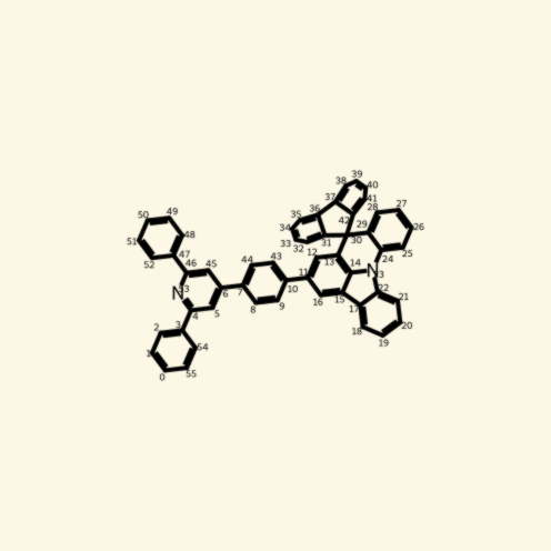 c1ccc(-c2cc(-c3ccc(-c4cc5c6c(c4)c4ccccc4n6-c4ccccc4C54c5ccccc5-c5ccccc54)cc3)cc(-c3ccccc3)n2)cc1